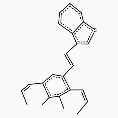 C/C=C\c1cc(/C=C/c2csc3ccccc23)c(/C=C\C)c(C)c1C